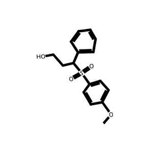 COc1ccc(S(=O)(=O)C(CCO)c2ccccc2)cc1